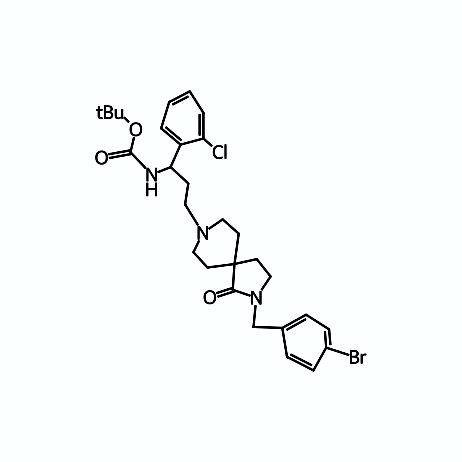 CC(C)(C)OC(=O)NC(CCN1CCC2(CC1)CCN(Cc1ccc(Br)cc1)C2=O)c1ccccc1Cl